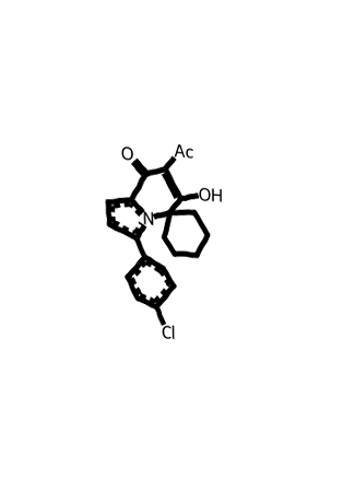 CC(=O)C1=C(O)C2(CCCCC2)n2c(ccc2-c2ccc(Cl)cc2)C1=O